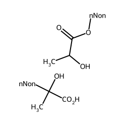 CCCCCCCCCC(C)(O)C(=O)O.CCCCCCCCCOC(=O)C(C)O